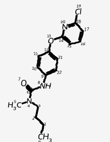 CCCCN(C)C(=O)Nc1ccc(Oc2cccc(Cl)n2)cc1